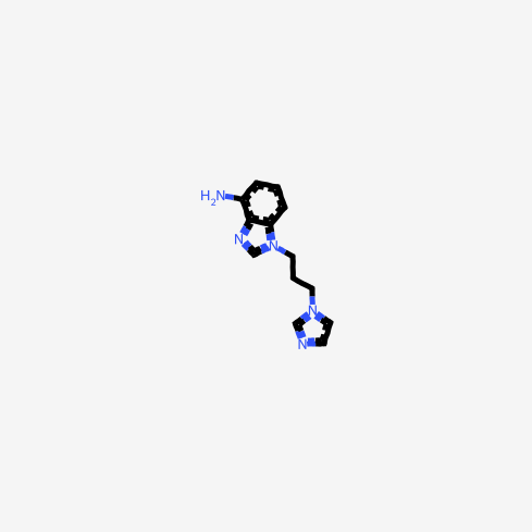 Nc1cccc2c1ncn2CCCn1ccnc1